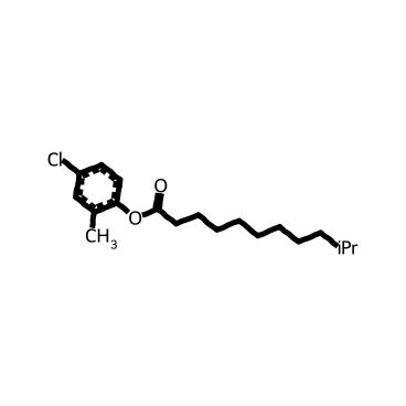 Cc1cc(Cl)ccc1OC(=O)CCCCCCCCC(C)C